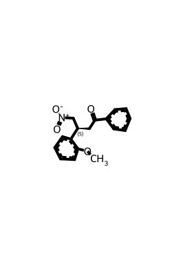 COc1ccccc1[C@H](CC(=O)c1ccccc1)C[N+](=O)[O-]